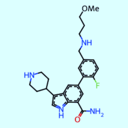 COCCCNCc1ccc(F)c(-c2cc(C(N)=O)c3[nH]cc(C4CCNCC4)c3c2)c1